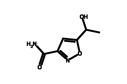 CC(O)c1cc(C(N)=O)no1